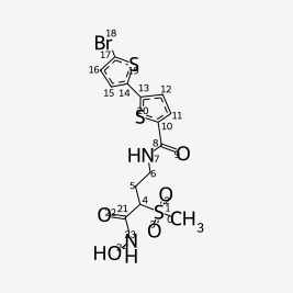 CS(=O)(=O)C(CCNC(=O)c1ccc(-c2ccc(Br)s2)s1)C(=O)NO